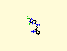 Clc1nc(Cl)c2nc(NCCc3c[nH]c4ccccc34)ccc2n1